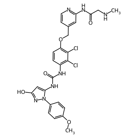 CNCC(=O)Nc1cc(COc2ccc(NC(=O)Nc3cc(O)nn3-c3ccc(OC)cc3)c(Cl)c2Cl)ccn1